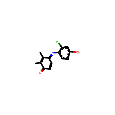 CC1=C(C)C(=Nc2ccc(O)cc2Cl)C=CC1=O